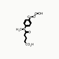 CN(C(=O)CCCC(=O)O)c1cc[c]([Ge][O]OO)cc1